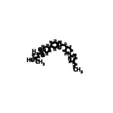 CCCc1cnc(N2CCC(Cc3nc4ccc(C5CCN(S(=O)(=O)CCC(C)(C)O)CC5)cc4o3)CC2)nc1